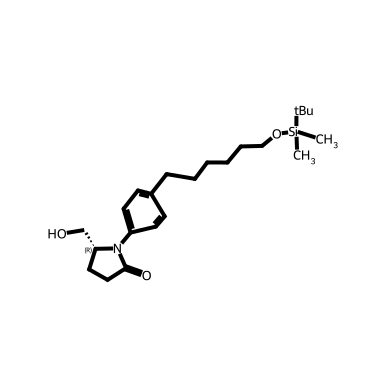 CC(C)(C)[Si](C)(C)OCCCCCCc1ccc(N2C(=O)CC[C@@H]2CO)cc1